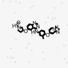 Cc1cc(Nc2ncnc3ccc(O[C@@H]4CCN([SH]=O)C4)cc23)ccc1Oc1ccn2ncnc2c1